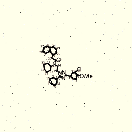 COc1ccc(-c2nc(-c3ccncc3)n(CCN(C(=O)Cc3cccc4ccccc34)C3CCCCC3)n2)cc1Cl